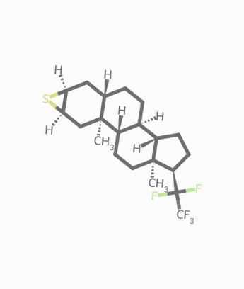 C[C@]12C[C@H]3S[C@H]3C[C@@H]1CC[C@@H]1[C@@H]2CC[C@@]2(C)[C@H]1CC[C@H]2C(F)(F)C(F)(F)F